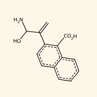 C=C(c1ccc2ccccc2c1C(=O)O)C(N)O